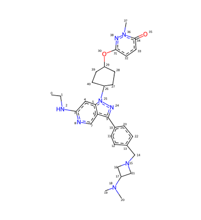 CCNc1cc2c(cn1)c(-c1ccc(CN3CC(N(C)C)C3)cc1)nn2C1CCC(Oc2ccc(=O)n(C)n2)CC1